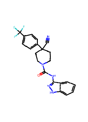 N#CC1(c2ccc(C(F)(F)F)cc2)CCN(C(=O)Nc2n[nH]c3ccccc23)CC1